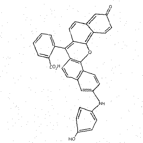 O=C(O)c1ccccc1-c1c2ccc3cc(Nc4ccc(O)cc4)ccc3c2oc2c1ccc1cc(=O)ccc12